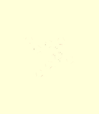 c1ccc(-c2ccc(-c3nc(-c4ccccc4)nc(-n4c5ccccc5c5ccc(-c6cccc7c6oc6ccccc67)cc54)n3)cc2)cc1